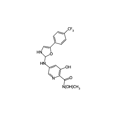 CN(O)C(=O)c1ncc(NC2NC=C(c3ccc(C(F)(F)F)cc3)O2)cc1O